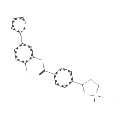 C[P]1(O)CCC(c2ccc(C(=O)Nc3cc(-c4cccs4)ccc3N)cc2)O1